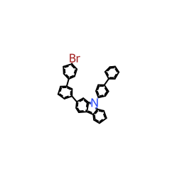 Brc1ccc(-c2cccc(-c3ccc4c5ccccc5n(-c5ccc(-c6ccccc6)cc5)c4c3)c2)cc1